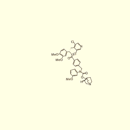 COc1cccc(N(Cc2ccc(C(=O)O[C@@H](Cc3c(Cl)cncc3Cl)c3ccc(OC)c(OC)c3)cc2)C(=O)O[C@H]2CN3CCC2CC3)c1